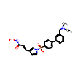 CN(C)Cc1cccc(-c2ccc(S(=O)(=O)n3ccc(C=CC(=O)NO)c3)cc2)c1